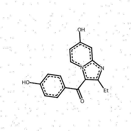 CCc1nc2cc(O)ccn2c1C(=O)c1ccc(O)cc1